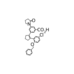 O=C(O)c1cc(C2=C(c3cc(Cl)ccc3OCc3ccccc3)CCC2)cc(N2CCCC2=O)c1